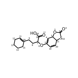 O=C1OC2C=C(OC(CCC3=CCCCC3)C(=O)O)C=CC2S1